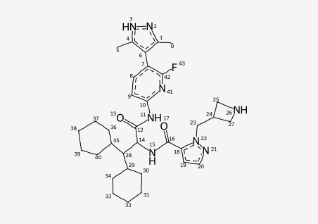 Cc1n[nH]c(C)c1-c1ccc(NC(=O)C(NC(=O)c2ccnn2CC2CNC2)C(C2CCCCC2)C2CCCCC2)nc1F